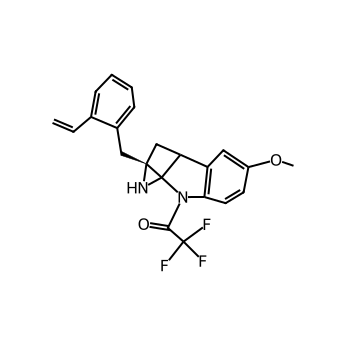 C=Cc1ccccc1C[C@@]12CC3c4cc(OC)ccc4N(C(=O)C(F)(F)F)C31N2